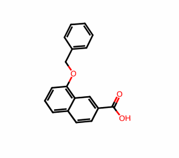 O=C(O)c1ccc2cccc(OCc3ccccc3)c2c1